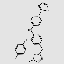 Cn1cnc(Sc2cnc(Nc3ccc(-c4nnn[nH]4)cn3)c(Oc3ccc(F)cc3)c2)n1